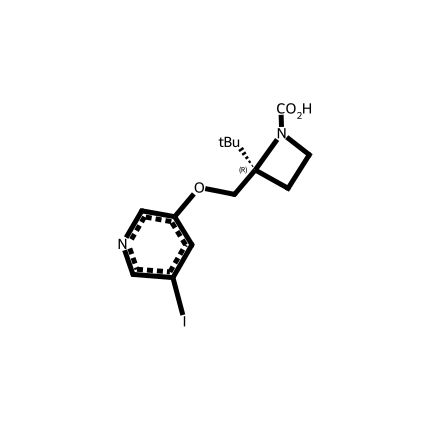 CC(C)(C)[C@@]1(COc2cncc(I)c2)CCN1C(=O)O